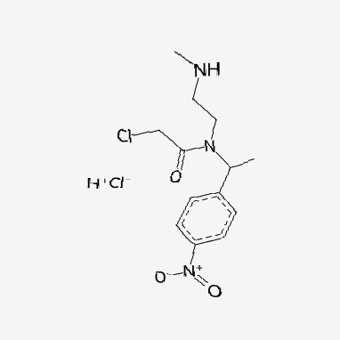 CNCCN(C(=O)CCl)C(C)c1ccc([N+](=O)[O-])cc1.[Cl-].[H+]